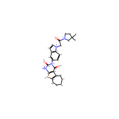 CC1(C)CCN(C(=O)Cn2ccc3cc(-n4c(=O)[nH]c5sc6c(c5c4=O)CCCCC6)ccc32)C1